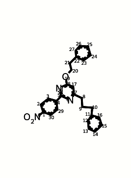 O=[N+]([O-])c1ccc(-c2nc(CCCc3ccccc3)cc(OCCc3ccccc3)n2)cc1